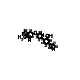 CN1[C@@H]2C[C@H](Oc3ccc(-c4ccc(-n5ccnc5)cc4O)nn3)C[C@H]1[C@@H](F)C2